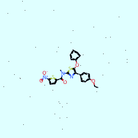 CCOc1ccc(-c2nc(N(C)C(=O)c3ccc([N+](=O)[O-])s3)sc2Oc2ccccc2)cc1